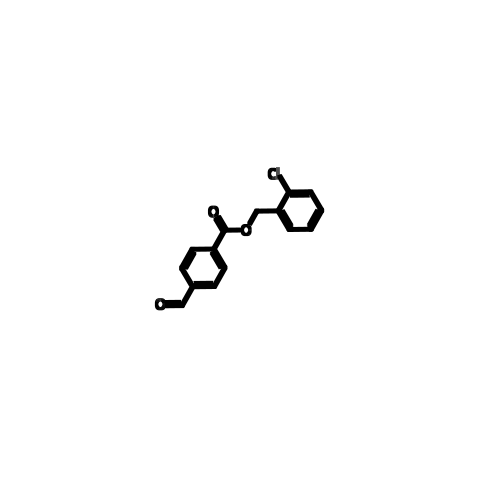 O=Cc1ccc(C(=O)OCc2ccccc2Cl)cc1